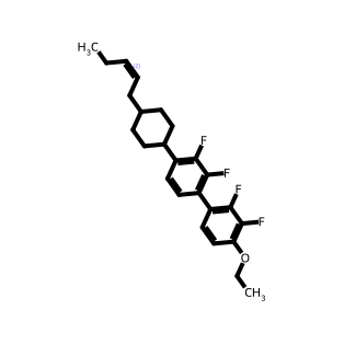 CC/C=C\CC1CCC(c2ccc(-c3ccc(OCC)c(F)c3F)c(F)c2F)CC1